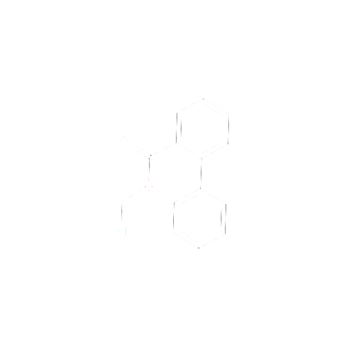 O=C(OCCl)c1ccccc1-c1ccccc1